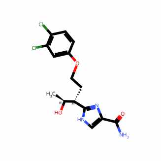 C[C@H](O)[C@H](CCOc1ccc(Cl)c(Cl)c1)c1nc(C(N)=O)c[nH]1